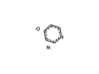 [N].[O].c1ccncc1